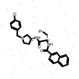 CC(C)C[C@H](NC(=O)c1ccc2ccccc2c1)C(=O)N[C@H]1CCN(Cc2ccc(Cl)cc2)C1